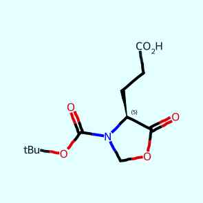 CC(C)(C)OC(=O)N1COC(=O)[C@@H]1CCC(=O)O